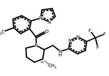 Cc1ccc(-n2cccn2)c(C(=O)N2CCC[C@@H](C)C2CNc2ccc(C(F)(F)F)nn2)c1